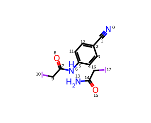 N#Cc1ccc(NC(=O)CI)cc1.NC(=O)CI